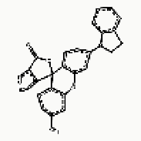 Cc1ccc2c(c1)Oc1cc(N3CCc4ccccc43)ccc1C21OC(=O)c2ccccc21